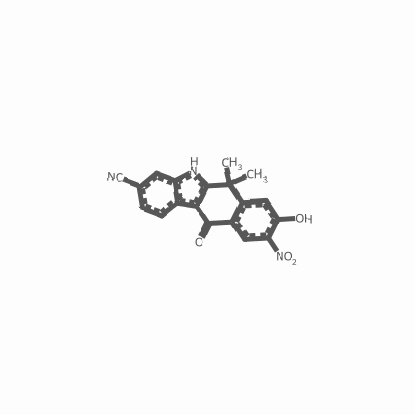 CC1(C)c2cc(O)c([N+](=O)[O-])cc2C(=O)c2c1[nH]c1cc(C#N)ccc21